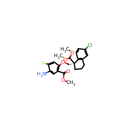 COC(=O)c1cc(N)c(F)cc1OC[C@@]1(C(OC)OC)CCCc2cc(Cl)ccc21